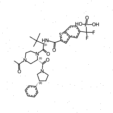 CC(=O)N1CCN(C(=O)[C@@H](NC(=O)c2cc3cc(C(F)(F)P(=O)(O)O)ccc3s2)C(C)(C)C)[C@H](C(=O)N2CC[C@H](c3ccccc3)C2)C1